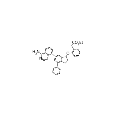 CCOC(=O)Cc1ccccc1OC1CCc2c(-c3ccccc3)cc(-c3cccc4c(N)nccc34)cc21